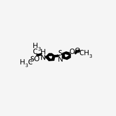 COCOc1ccc2nc(-c3ccc(NCC(C)OSC)cc3)sc2c1